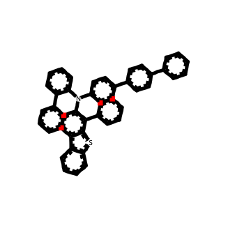 c1ccc(-c2ccc(-c3ccc(N(c4ccccc4-c4ccccc4)c4ccc5c(sc6ccccc65)c4-c4ccccc4)cc3)cc2)cc1